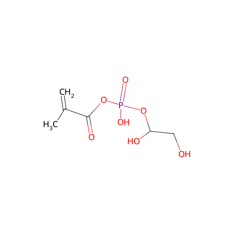 C=C(C)C(=O)OP(=O)(O)OC(O)CO